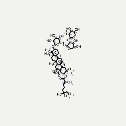 C=CC(C)(O)CC/C=C(\C)C(=O)O[C@H]1C[C@]2(C(=O)O)[C@H](O)C[C@]3(C)C(=CC[C@@H]4[C@@]5(C)CC[C@H](O[C@@H]6O[C@H](CO[C@@H]7OC[C@H](O)[C@H](O)[C@H]7O[C@@H]7OC[C@H](O)[C@H](O)[C@H]7O)[C@@H](O)[C@H](O)[C@H]6O)C(C)(C)[C@@H]5CC[C@]43C)[C@@H]2CC1(C)C